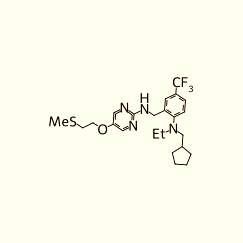 CCN(CC1CCCC1)c1ccc(C(F)(F)F)cc1CNc1ncc(OCCSC)cn1